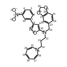 O=[N+]([O-])c1cccc(-c2cc(N(CCCN3C=CC=CC=C3)Cc3ccc4c(c3)OCO4)on2)c1